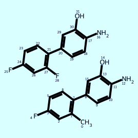 Cc1cc(F)ccc1-c1ccc(N)c(O)c1.Nc1ccc(-c2ccc(F)cc2F)cc1O